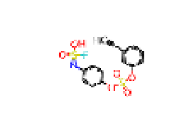 C#Cc1cccc(OS(=O)(=O)Oc2ccc(N=S(=O)(O)F)cc2)c1